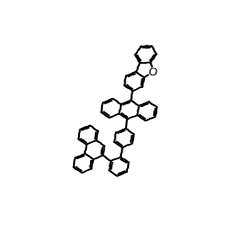 c1ccc(-c2cc3ccccc3c3ccccc23)c(-c2ccc(-c3c4ccccc4c(-c4ccc5c(c4)oc4ccccc45)c4ccccc34)cc2)c1